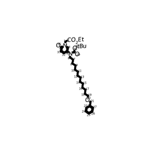 CCOC(=O)Cn1cc(N(CCCCCCCCCCCCCCOCc2ccccc2)C(=O)OC(C)(C)C)ccc1=O